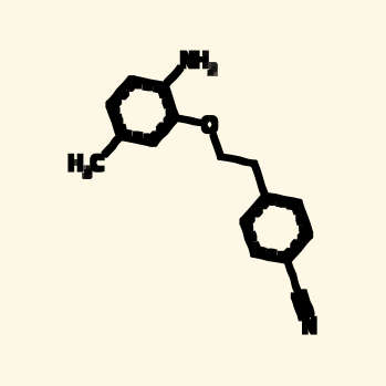 Cc1ccc(N)c(OCCc2ccc(C#N)cc2)c1